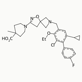 CCOc1c(CN2CC3(CC(N4CCC(C)(C(=O)O)CC4)=NO3)C2)cc(C2CC2)c(-c2ccc(F)cc2)c1Cl